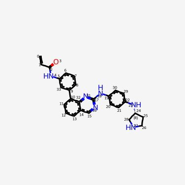 C=CC(=O)Nc1cccc(-c2cccc3cnc(Nc4ccc(N[C@@H]5CCNC5)cc4)nc23)c1